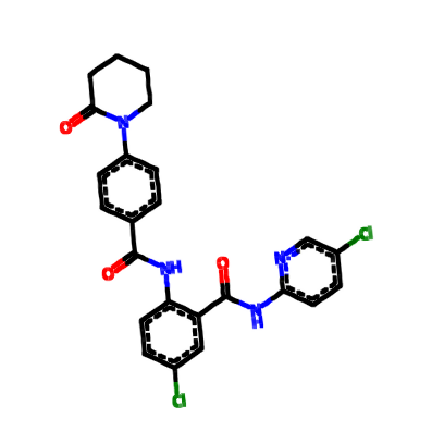 O=C(Nc1ccc(Cl)cc1C(=O)Nc1ccc(Cl)cn1)c1ccc(N2CCCCC2=O)cc1